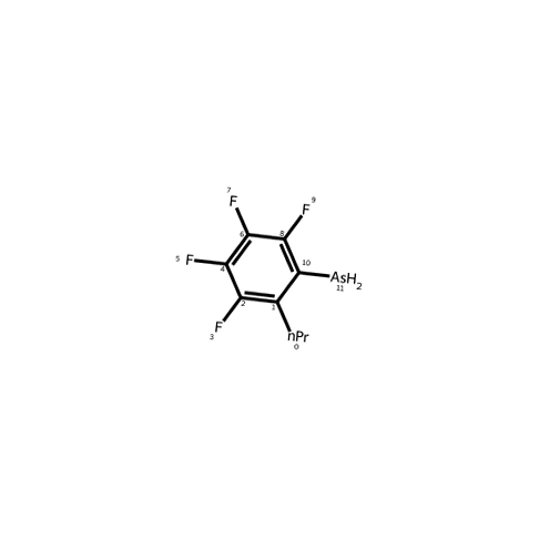 CCCc1c(F)c(F)c(F)c(F)c1[AsH2]